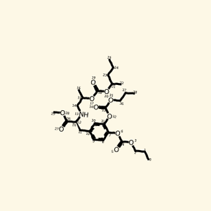 CCCOC(=O)Oc1ccc(C[C@H](NCC(C)OC(=O)OC(C)CCC)C(=O)OC)cc1OC(=O)OCCC